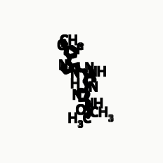 COc1cc(F)cc(-c2nccc3[nH]c(-c4n[nH]c5cnc(-c6cncc(NC(=O)C(C)C)c6)cc45)cc23)c1